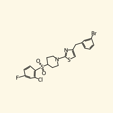 O=S(=O)(c1ccc(F)cc1Cl)C1CCN(c2nc(Cc3cccc(Br)c3)cs2)CC1